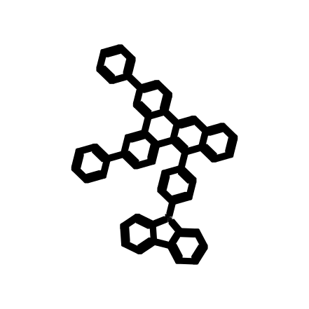 c1ccc(-c2ccc3c(c2)c2cc(-c4ccccc4)ccc2c2c(-c4ccc(-n5c6ccccc6c6ccccc65)cc4)c4ccccc4cc32)cc1